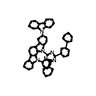 c1ccc(-c2cccc(-c3nc(-c4ccccc4)nc(-n4c5ccc(-n6c7ccccc7c7ccccc76)cc5c5ccc6c7ccccc7n(-c7ccccc7)c6c54)n3)c2)cc1